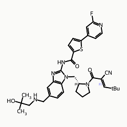 CC(C)(C)/C=C(\C#N)C(=O)N1CCC[C@@H]1Cn1c(NC(=O)c2ccc(-c3ccnc(F)c3)s2)nc2cc(CNCC(C)(C)O)ccc21